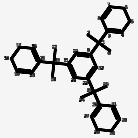 CC(C)(C1=CCCC=C1)c1cc(C(C)(C)C2=CCCC=C2)cc(C(C)(C)C2=CCCC=C2)c1